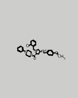 COc1ccc(CN[C@H]2C[C@@H](C(=O)N3CCN(c4ccccc4)CC3)N(Cc3ccccc3Cl)C2)cc1